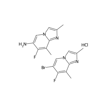 Cc1cn2cc(Br)c(F)c(C)c2n1.Cc1cn2cc(N)c(F)c(C)c2n1.Cl